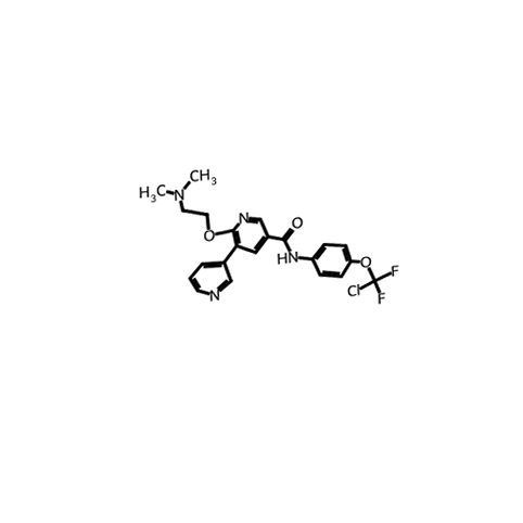 CN(C)CCOc1ncc(C(=O)Nc2ccc(OC(F)(F)Cl)cc2)cc1-c1cccnc1